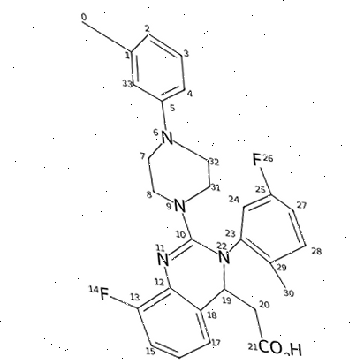 Cc1cccc(N2CCN(C3=Nc4c(F)cccc4C(CC(=O)O)N3c3cc(F)ccc3C)CC2)c1